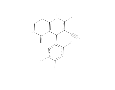 CC1=C(C#N)C(c2cc(F)c(F)cc2F)C2=C(CCNC2=O)N1